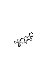 CCN1C(=O)O/C(=C/c2ccc3oc4ccccc4c3c2)C1O